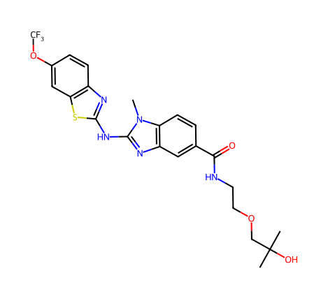 Cn1c(Nc2nc3ccc(OC(F)(F)F)cc3s2)nc2cc(C(=O)NCCOCC(C)(C)O)ccc21